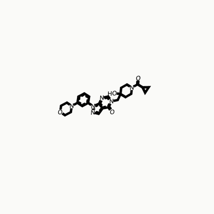 O=C(C1CC1)N1CCC(O)(Cn2cnc3c(cnn3-c3cccc(N4CCOCC4)c3)c2=O)CC1